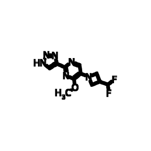 COc1nc(-c2c[nH]nn2)ncc1N1CC(C(F)F)C1